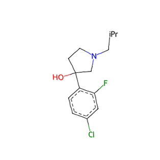 CC(C)CN1CCC(O)(c2ccc(Cl)cc2F)C1